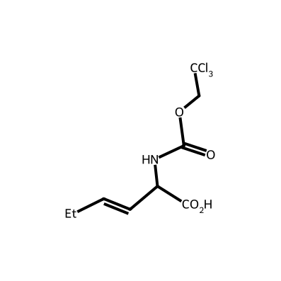 CC/C=C/C(NC(=O)OCC(Cl)(Cl)Cl)C(=O)O